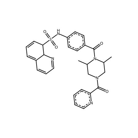 CC1CN(C(=O)c2ccccn2)CC(C)N1C(=O)c1ccc(NS(=O)(=O)C2C=CC=C3C=CC=NC32)cc1